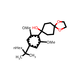 CCCCCCC(C)(C)c1cc(OC)c(C2(O)CCC3(CC2)OCCO3)c(OC)c1